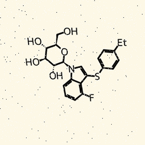 CCc1ccc(Sc2cn([C@@H]3O[C@H](CO)[C@@H](O)[C@H](O)[C@H]3O)c3cccc(F)c23)cc1